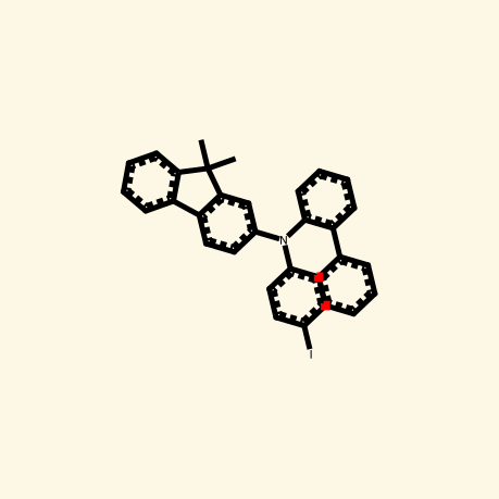 CC1(C)c2ccccc2-c2ccc(N(c3ccc(I)cc3)c3ccccc3-c3ccccc3)cc21